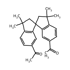 CC(=O)c1ccc2c(c1)C1(CC2(C)C)CC(C)(C)c2ccc(C(C)=O)cc21